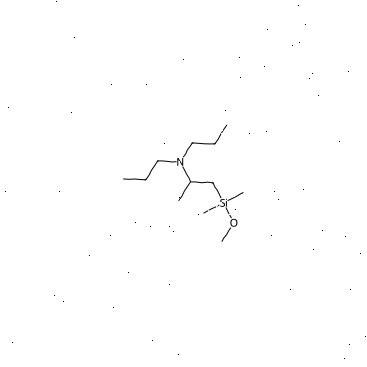 CCCN(CCC)C(C)C[Si](C)(C)OC